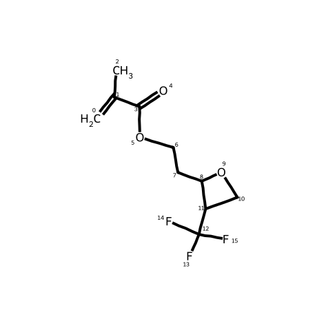 C=C(C)C(=O)OCCC1OCC1C(F)(F)F